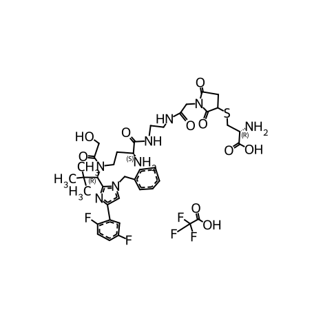 CC(C)(C)[C@H](c1nc(-c2cc(F)ccc2F)cn1Cc1ccccc1)N(CC[C@H](N)C(=O)NCCNC(=O)CN1C(=O)CC(SC[C@H](N)C(=O)O)C1=O)C(=O)CO.O=C(O)C(F)(F)F